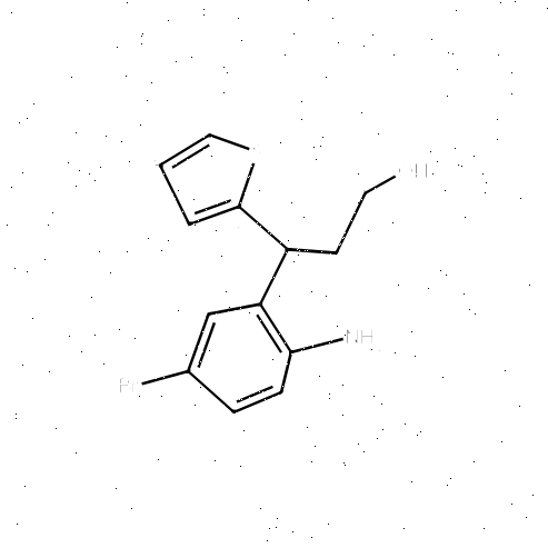 Nc1ccc(Br)cc1C(CCO)c1cccs1